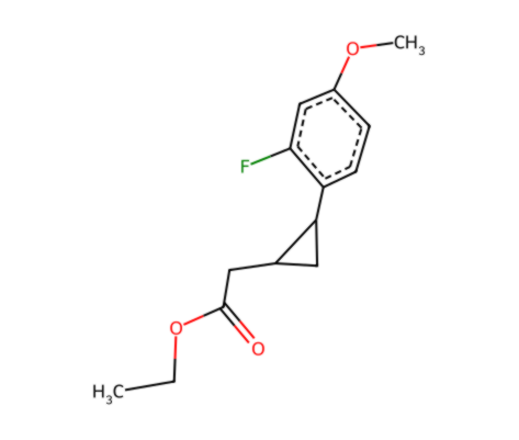 CCOC(=O)CC1CC1c1ccc(OC)cc1F